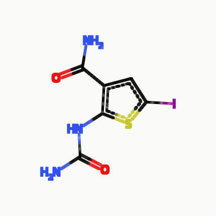 NC(=O)Nc1sc(I)cc1C(N)=O